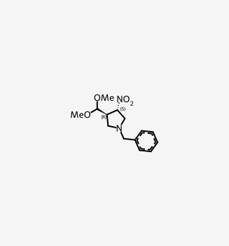 COC(OC)[C@@H]1CN(Cc2ccccc2)C[C@H]1[N+](=O)[O-]